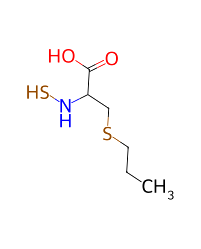 CCCSCC(NS)C(=O)O